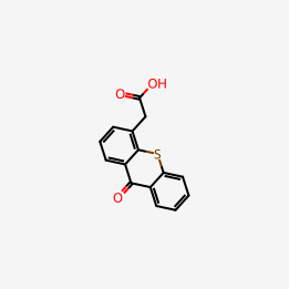 O=C(O)Cc1cccc2c(=O)c3ccccc3sc12